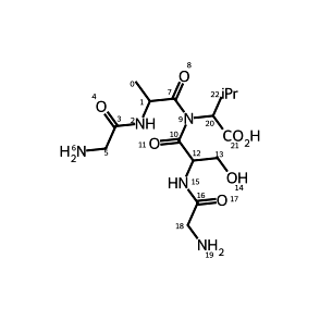 CC(NC(=O)CN)C(=O)N(C(=O)C(CO)NC(=O)CN)C(C(=O)O)C(C)C